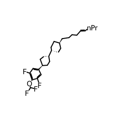 CCC/C=C/CCCC[C@H]1CC[C@H]([C@H]2CC[C@H](c3cc(F)c(OC(F)F)c(F)c3)CC2)CC1